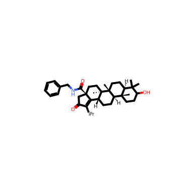 CC(C)C1=C2[C@H]3CC[C@@H]4[C@@]5(C)CCC(O)C(C)(C)[C@@H]5CC[C@@]4(C)[C@]3(C)CC[C@@]2(C(=O)NCc2ccccc2)CC1=O